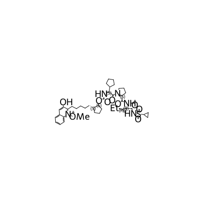 CC[C@@H]1C[C@]1(NC(=O)[C@@H]1CCCN1C(=O)[C@@H](NC(=O)O[C@H]1CCC[C@@H]1CCCCCc1c(O)cc2ccccc2[n+]1OC)C1CCCC1)C(=O)NS(=O)(=O)C1CC1